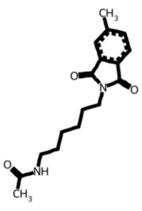 CC(=O)NCCCCCCN1C(=O)c2ccc(C)cc2C1=O